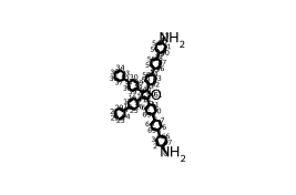 Nc1ccc(-c2ccc(-c3ccc(C4=C(c5ccc(-c6ccccc6)cc5)C(c5ccc(-c6ccccc6)cc5)=C(c5ccc(-c6ccc(-c7ccc(N)cc7)cc6)cc5)C4=O)cc3)cc2)cc1